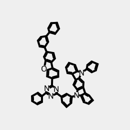 c1ccc(-c2cccc(-c3ccc4c(c3)oc3cc(-c5nc(-c6ccccc6)nc(-c6cccc(-n7c8ccccc8c8cc9c(cc87)c7ccccc7n9-c7ccccc7)c6)n5)ccc34)c2)cc1